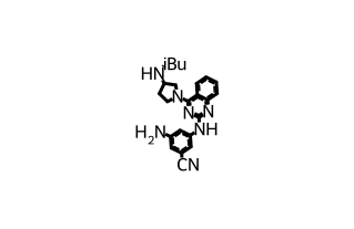 CCC(C)NC1CCN(c2nc(Nc3cc(N)cc(C#N)c3)nc3ccccc23)C1